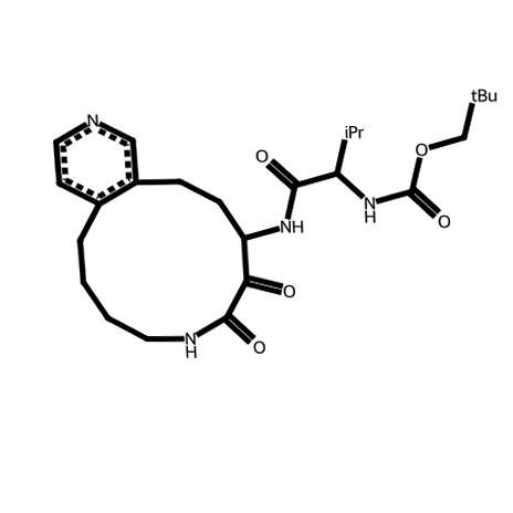 CC(C)C(NC(=O)OCC(C)(C)C)C(=O)NC1CCc2cnccc2CCCCNC(=O)C1=O